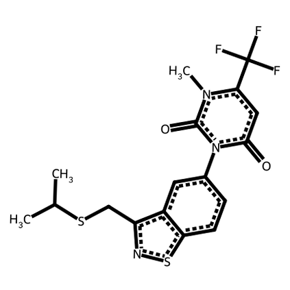 CC(C)SCc1nsc2ccc(-n3c(=O)cc(C(F)(F)F)n(C)c3=O)cc12